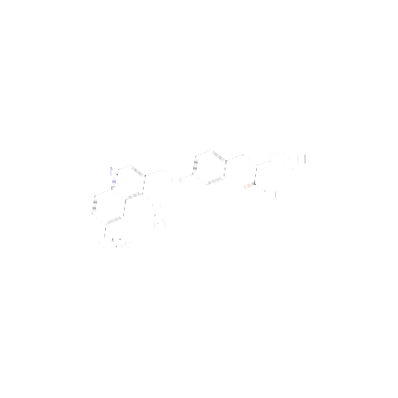 CCC(=O)C(Cc1ccc(OCc2cnc3ccc(OC)cc3c2OC(C)C)cc1)C(=O)O